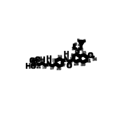 CCN(CC1CC1)c1cc(C(=O)Nc2ccc(CNCCCP(=O)(O)O)cc2)cc2ccc(OC)cc12